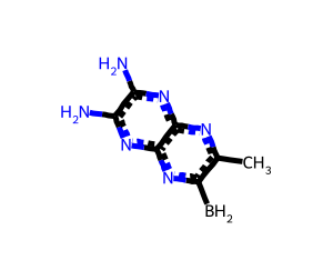 Bc1nc2nc(N)c(N)nc2nc1C